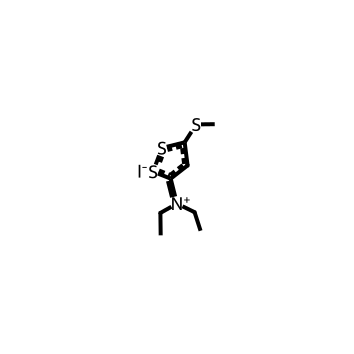 CC[N+](CC)=c1cc(SC)ss1.[I-]